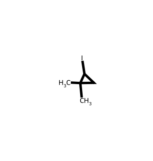 CC1(C)CC1I